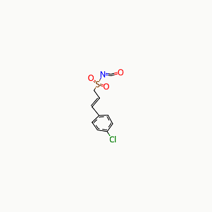 O=C=NS(=O)(=O)CC=Cc1ccc(Cl)cc1